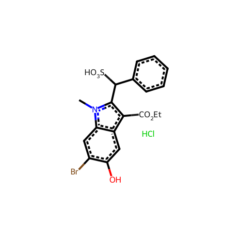 CCOC(=O)c1c(C(c2ccccc2)S(=O)(=O)O)n(C)c2cc(Br)c(O)cc12.Cl